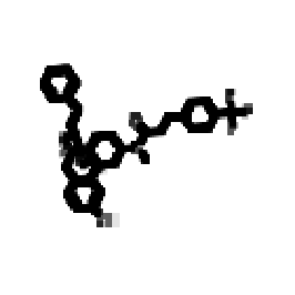 CN(C(=O)CCc1ccc(C(F)(F)F)cc1)C1CC[C@@]2(O)[C@H]3Cc4ccc(O)cc4[C@@]2(CCN3CCc2ccccc2)C1